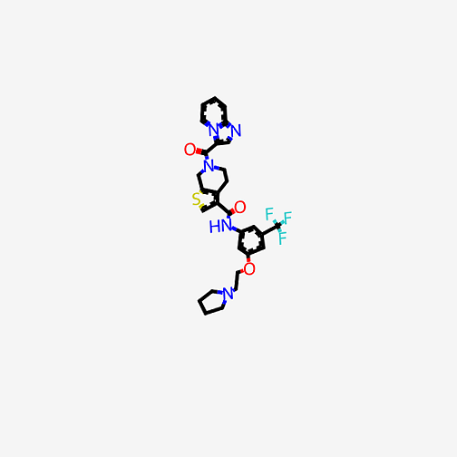 O=C(Nc1cc(OCCN2CCCC2)cc(C(F)(F)F)c1)c1csc2c1CCN(C(=O)c1cnc3ccccn13)C2